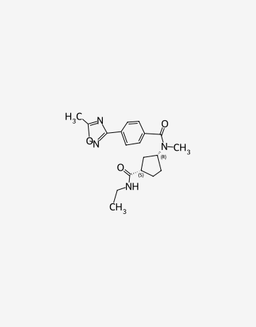 CCNC(=O)[C@H]1CC[C@@H](N(C)C(=O)c2ccc(-c3noc(C)n3)cc2)C1